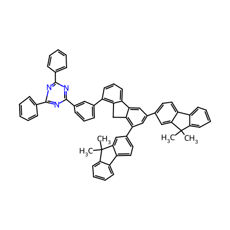 CC1(C)c2ccccc2-c2ccc(-c3cc(-c4ccc5c(c4)C(C)(C)c4ccccc4-5)c4c(c3)-c3cccc(-c5cccc(-c6nc(-c7ccccc7)nc(-c7ccccc7)n6)c5)c3C4)cc21